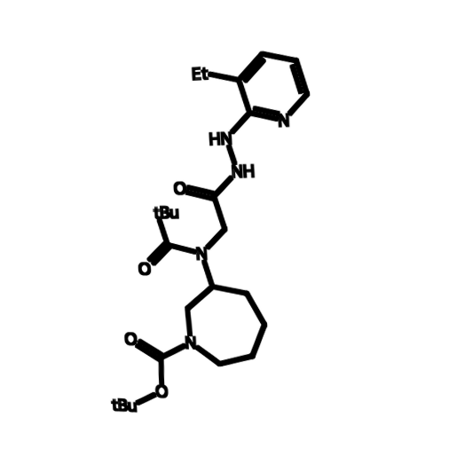 CCc1cccnc1NNC(=O)CN(C(=O)C(C)(C)C)C1CCCCN(C(=O)OC(C)(C)C)C1